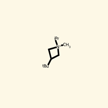 CC(C)[N+]1(C)CC(C(C)(C)C)C1